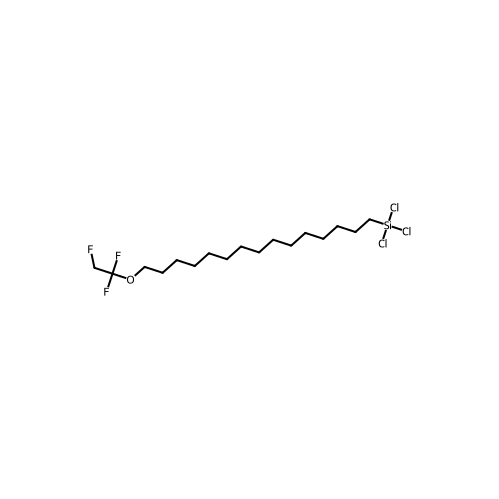 FCC(F)(F)OCCCCCCCCCCCCCCC[Si](Cl)(Cl)Cl